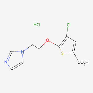 Cl.O=C(O)c1cc(Cl)c(OCCn2ccnc2)s1